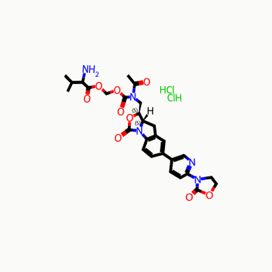 CC(=O)N(C[C@@H]1OC(=O)N2c3ccc(-c4ccc(N5CCOC5=O)nc4)cc3C[C@@H]12)C(=O)OCOC(=O)C(N)C(C)C.Cl.Cl